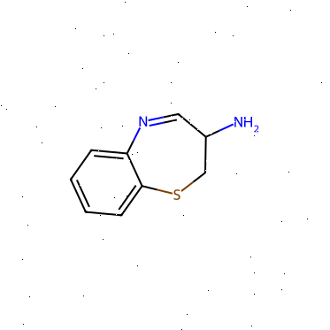 NC1C=Nc2ccccc2SC1